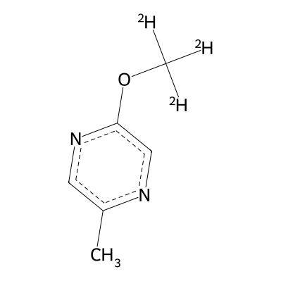 [2H]C([2H])([2H])Oc1cnc(C)cn1